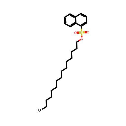 CCCCCCCCCCCCCCCOS(=O)(=O)c1cccc2ccccc12